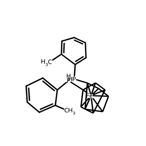 Cc1ccccc1P[C]12[CH]3[CH]4[CH]5[CH]1[Fe]45321678[CH]2[CH]1[CH]6[C]7(Pc1ccccc1C)[CH]28